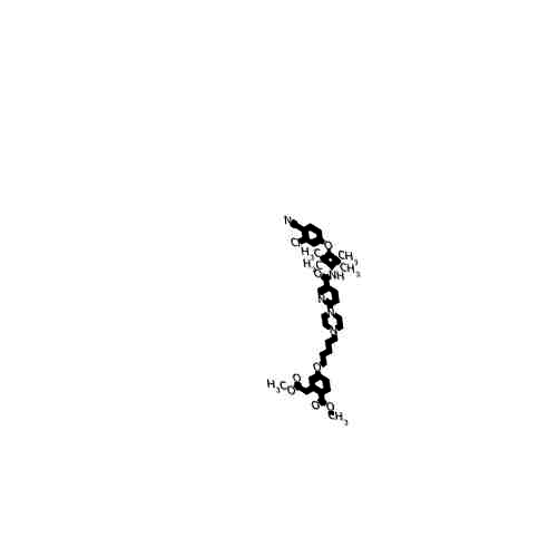 COC(=O)Cc1cc(OCCCCCN2CCN(c3ccc(C(=O)N[C@H]4C(C)(C)[C@H](Oc5ccc(C#N)c(Cl)c5)C4(C)C)cn3)CC2)ccc1C(=O)OC